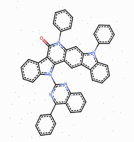 O=c1c2c3ccccc3n(-c3nc(-c4ccccc4)c4ccccc4n3)c2c2cc3c4ccccc4n(-c4ccccc4)c3cc2n1-c1ccccc1